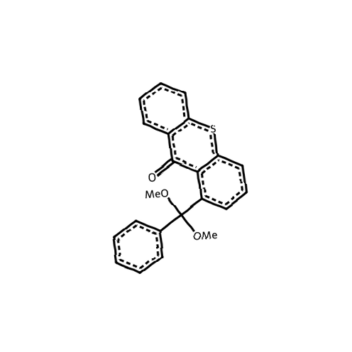 COC(OC)(c1ccccc1)c1cccc2sc3ccccc3c(=O)c12